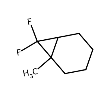 CC12CCCCC1C2(F)F